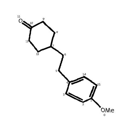 COc1ccc(CCC2CCC(=O)CC2)cc1